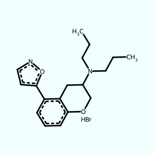 Br.CCCN(CCC)C1COc2cccc(-c3ccno3)c2C1